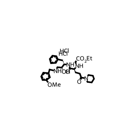 CCOC(=O)CN[C@@H](CCC(=O)N1CCCCC1)C(=O)N[C@@H](Cc1ccccc1)[C@H](O)CNCc1cccc(OC)c1.Cl.Cl